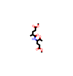 COC(=O)CCC(C)C(=O)NC(CCC(=O)OC)C(C)=O